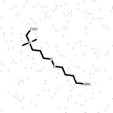 CCCCCCCCCCCCCCOOCCC[N+](C)(C)CC(=O)[O-]